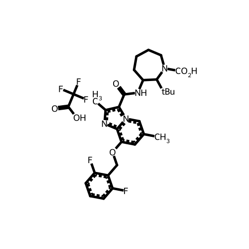 Cc1cc(OCc2c(F)cccc2F)c2nc(C)c(C(=O)NC3CCCCN(C(=O)O)C3C(C)(C)C)n2c1.O=C(O)C(F)(F)F